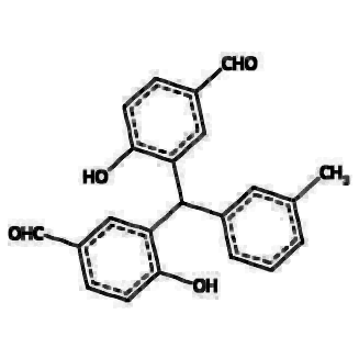 Cc1cccc(C(c2cc(C=O)ccc2O)c2cc(C=O)ccc2O)c1